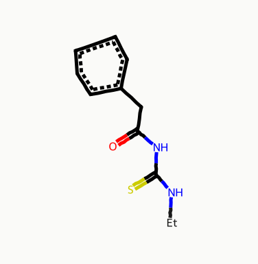 CCNC(=S)NC(=O)Cc1ccccc1